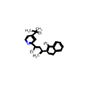 C=C(/C=C(\CC)c1cc(C(C)(C)CC)ccn1)c1ccc2ccccc2c1C(C)C